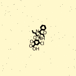 CCc1nc(-c2ccccc2)c(C(C)=O)n(Nc2cc(OC)c(C(=O)O)cc2Cl)c1=O